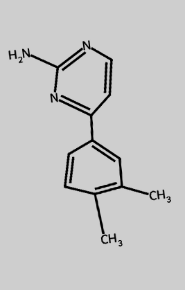 Cc1ccc(-c2ccnc(N)n2)cc1C